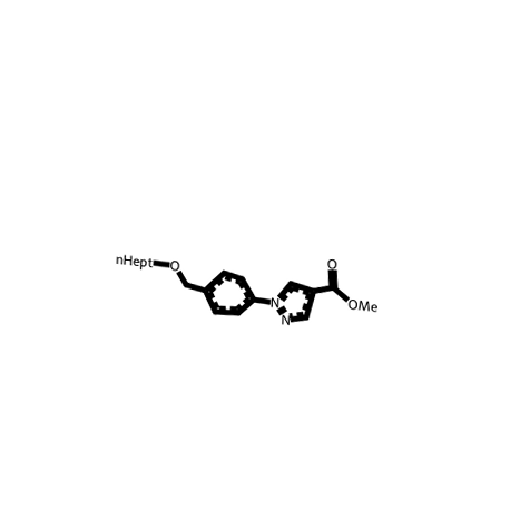 CCCCCCCOCc1ccc(-n2cc(C(=O)OC)cn2)cc1